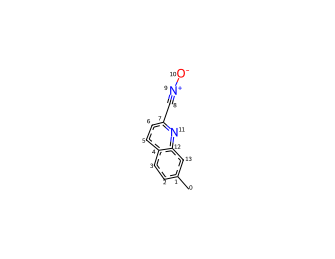 Cc1ccc2ccc(C#[N+][O-])nc2c1